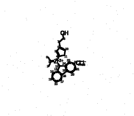 C[C](C)=[Zr+2]([C]1=CC(CCO)=CC1)[CH]1c2ccccc2-c2ccccc21.[Cl-].[Cl-]